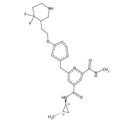 CNC(=O)c1cc(C(=O)N[C@H]2C[C@@H]2C)cc(Cc2cccc(OCCC3CNCCC3(F)F)c2)n1